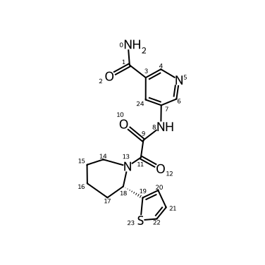 NC(=O)c1cncc(NC(=O)C(=O)N2CCCC[C@H]2c2cccs2)c1